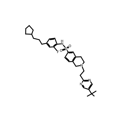 CC(C)(C)c1cnc(CCN2CCc3cc(S(=O)(=O)Nc4ccc(CCCC5CCCC5)cc4F)ccc3C2)nc1